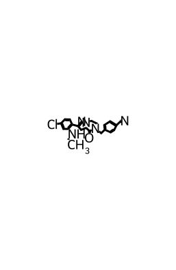 CCNc1cc(Cl)ccc1C1=NN2CCN(Cc3ccc(C#N)cc3)C(=O)C2C1